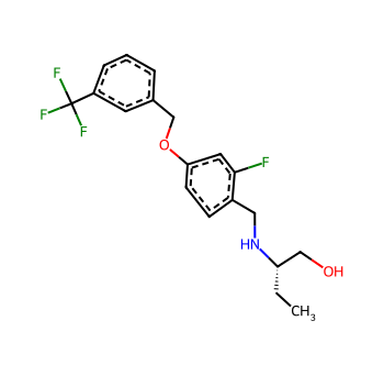 CC[C@@H](CO)NCc1ccc(OCc2cccc(C(F)(F)F)c2)cc1F